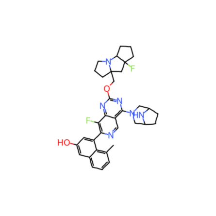 Cc1cccc2cc(O)cc(-c3ncc4c(N5CC6CCC(C5)N6)nc(OCC56CCCN5C5CCCC5(F)C6)nc4c3F)c12